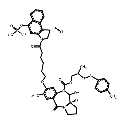 COc1cc2c(cc1OCCCCCC(=O)N1C[C@@H](CCl)c3c1cc(OP(=O)(O)O)c1ccccc31)N(C(=O)OCC(C)SSc1ccc(C)cc1)C(O)[C@@H]1CCCN1C2=O